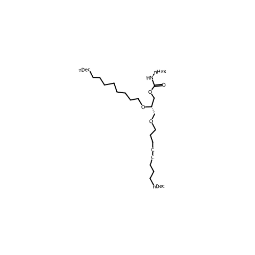 CCCCCCCCCCCCCCCCCCOC[C@@H](COC(=O)NCCCCCC)OCCCCCCCCCCCCCCCCCC